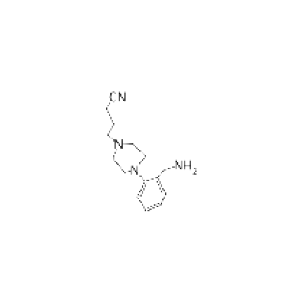 N#CCCCN1CCN(c2ccccc2CN)CC1